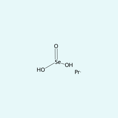 O=[Se](O)O.[Pr]